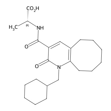 C[C@@H](NC(=O)c1cc2c(n(CC3CCCCC3)c1=O)CCCCCC2)C(=O)O